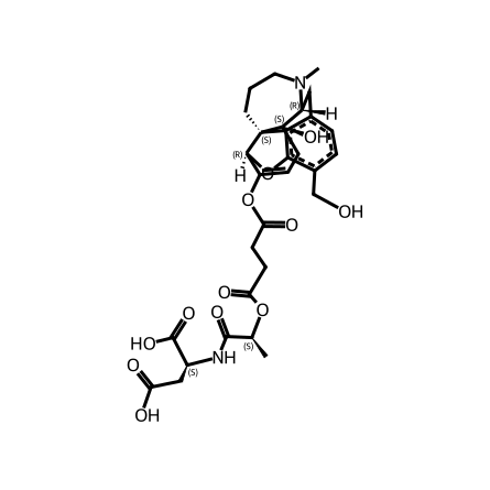 C[C@H](OC(=O)CCC(=O)OC1=CC[C@@]2(O)[C@H]3Cc4ccc(CO)c5c4[C@@]2(CCCN3C)[C@H]1O5)C(=O)N[C@@H](CC(=O)O)C(=O)O